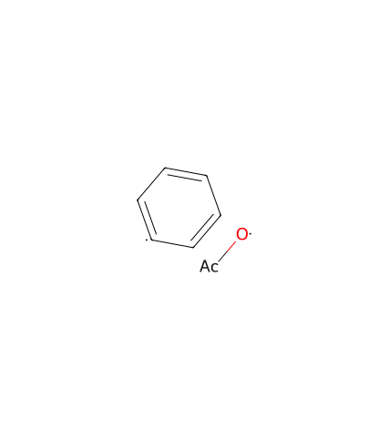 CC([O])=O.[c]1ccccc1